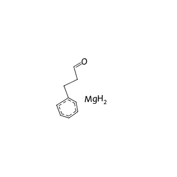 O=CCCc1ccccc1.[MgH2]